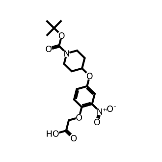 CC(C)(C)OC(=O)N1CCC(Oc2ccc(OCC(=O)O)c([N+](=O)[O-])c2)CC1